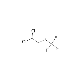 FC(F)(F)[CH]CC(Cl)Cl